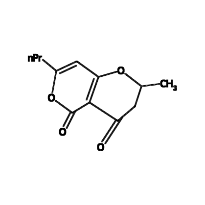 CCCc1cc2c(c(=O)o1)C(=O)CC(C)O2